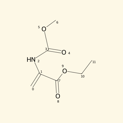 C=C(NC(=O)OC)C(=O)OCC